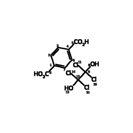 O=C(O)c1ccc(C(=O)O)cc1.OC(Cl)(Cl)C(O)(Cl)Cl